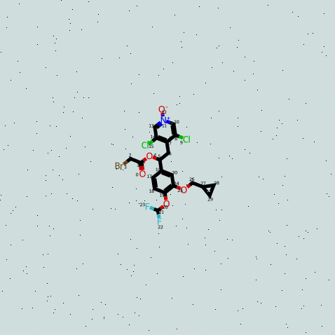 O=C(CBr)OC(Cc1c(Cl)c[n+]([O-])cc1Cl)c1ccc(OC(F)F)c(OCC2CC2)c1